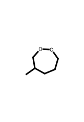 CC1CCCOOC1